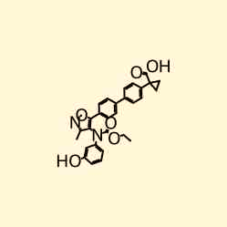 CCOC(=O)N(c1cccc(O)c1)c1c(C)noc1-c1ccc(-c2ccc(C3(C(=O)O)CC3)cc2)cc1